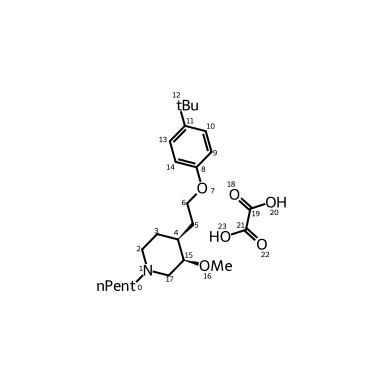 CCCCCN1CC[C@@H](CCOc2ccc(C(C)(C)C)cc2)[C@@H](OC)C1.O=C(O)C(=O)O